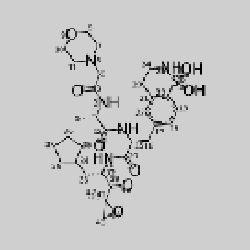 C[C@H](NC(=O)CN1CCOCC1)C(=O)N[C@@H](Cc1ccc2c(c1)CCNS2(O)O)C(=O)N[C@@H](CC1CCCC1)C(=O)[C@]1(C)CO1